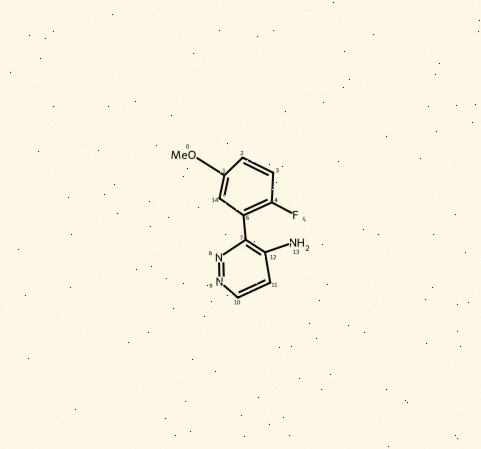 COc1ccc(F)c(-c2nnccc2N)c1